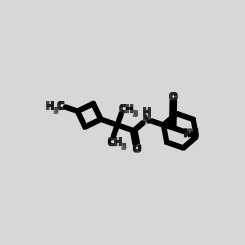 CC1CC(C(C)(C)C(=O)NC23CCC(CC2)NC3=O)C1